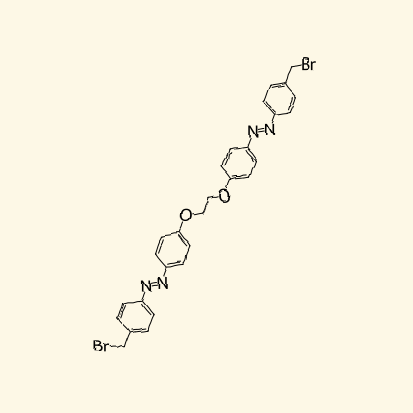 BrCc1ccc(N=Nc2ccc(OCCOc3ccc(N=Nc4ccc(CBr)cc4)cc3)cc2)cc1